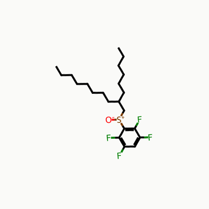 CCCCCCCCC(CCCCCC)C[S+]([O-])c1c(F)c(F)cc(F)c1F